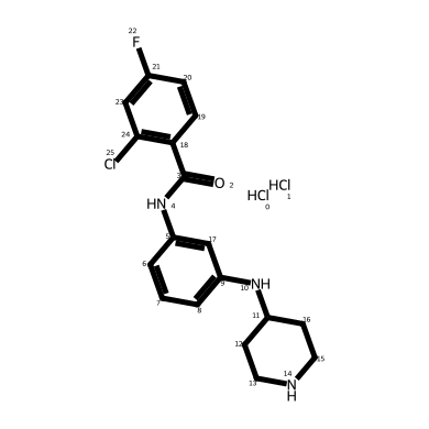 Cl.Cl.O=C(Nc1cccc(NC2CCNCC2)c1)c1ccc(F)cc1Cl